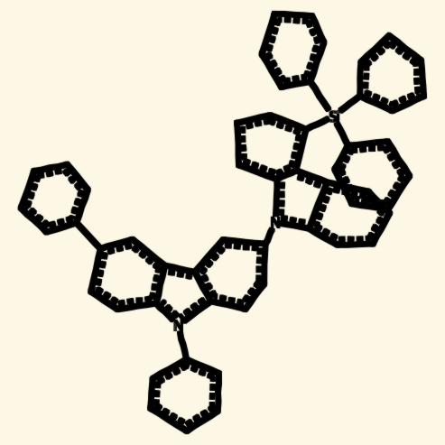 c1ccc(-c2ccc3c(c2)c2cc(-n4c5ccccc5c5c([Si](c6ccccc6)(c6ccccc6)c6ccccc6)cccc54)ccc2n3-c2ccccc2)cc1